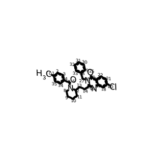 Cc1ccc(C(=O)N2CCCCC2CCc2nc3cc(Cl)ccc3c(=O)n2Cc2ccccc2)cc1